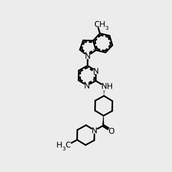 Cc1cccc2c1ccn2-c1ccnc(N[C@H]2CC[C@H](C(=O)N3CCC(C)CC3)CC2)n1